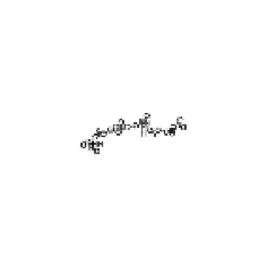 C1=Cc2c(n(-c3ccc4c(c3)oc3ccc(-c5ccc6c(c5)sc5ccc(C7N=C(c8ccccc8)N=C(c8ccc(C9C=Cc%10c(c%11ccccc%11n%10-c%10cccc%11c%10oc%10ccc(-c%12ccc%13c%14c(sc%13c%12)=CCC(C%12NC(c%13ccccc%13)=NC(c%13ccccc%13)N%12)C=%14)cc%10%11)C9)cc8)N7)cc56)cc34)c3ccccc23)CC1